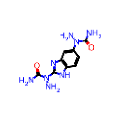 NC(=O)N(N)c1ccc2[nH]c(N(N)C(N)=O)nc2c1